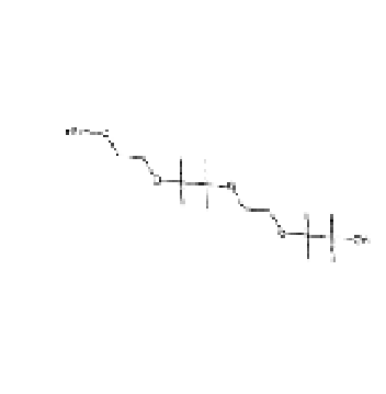 CCCOCCOC(C)(C)C(C)(C)OCCOC(C)(C)C(C)(C)O